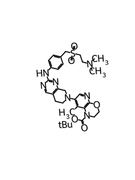 Cc1c(N2CCc3cnc(Nc4ccc(CS(=O)(=O)CCN(C)C)cc4)nc3C2)cnc2c1N(C(=O)OC(C)(C)C)CCO2